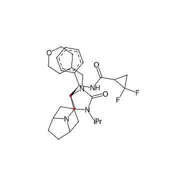 CC(C)N1C(=O)N(CC2CCOCC2)CC12CC1CCC(C2)N1CC[C@H](NC(=O)C1CC1(F)F)c1ccccc1